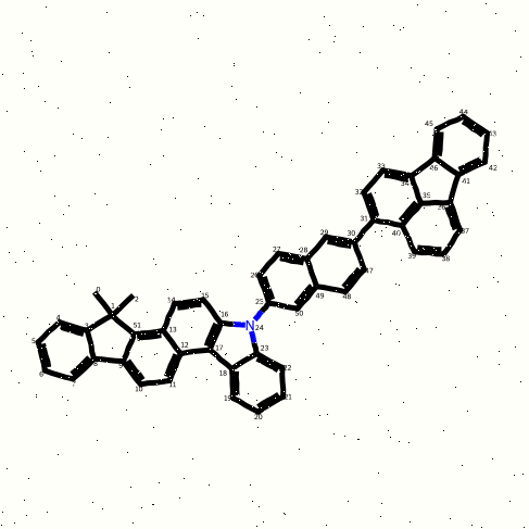 CC1(C)c2ccccc2-c2ccc3c(ccc4c3c3ccccc3n4-c3ccc4cc(-c5ccc6c7c(cccc57)-c5ccccc5-6)ccc4c3)c21